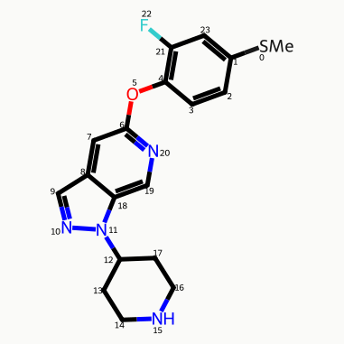 CSc1ccc(Oc2cc3cnn(C4CCNCC4)c3cn2)c(F)c1